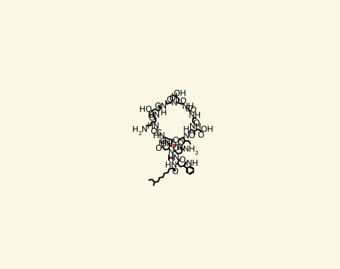 CCC(C)CCCCCCC(=O)NC(Cc1c[nH]c2ccccc12)C(=O)NC(CC(N)=O)C(=O)NC(CC(=O)O)C(=O)NC1C(=O)NCC(=O)NC(CCCN)C(=O)NC(CC(=O)O)C(=O)NC(C)C(=O)NC(CC(=O)O)C(=O)NCC(=O)NC(C)C(=O)NC(C(C)CC(=O)O)C(=O)NC(C(C)CC)C(=O)OC1C